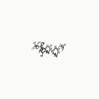 CN(C)Cc1cncc(-c2ccc3c(n2)c(I)nn3C(=O)OC(C)(C)C)c1